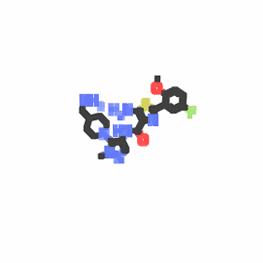 COc1ccc(F)cc1-c1nc(C(=O)Nc2cnn(C)c2N2CCC(CN)CC2)c(N)s1